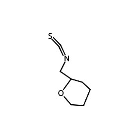 S=C=NCC1CCCCO1